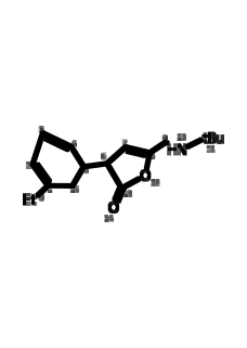 CCC1=CC=CC(C2C=C(CNC(C)(C)C)OC2=O)C1